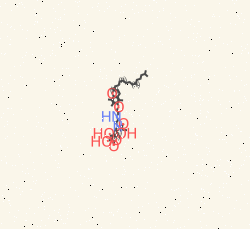 CCC(=O)N(CCNCCOc1c(C)c(C)c2c(c1C)CC[C@@](C)(CCC[C@H](C)CCC[C@H](C)CCCC(C)C)O2)C[C@H](O)[C@H]1OC(=O)C(O)=C1O